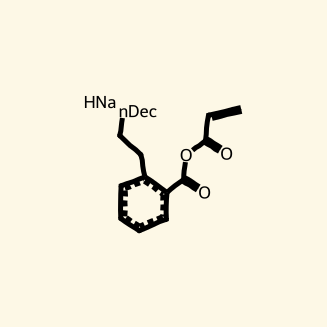 C=CC(=O)OC(=O)c1ccccc1CCCCCCCCCCCC.[NaH]